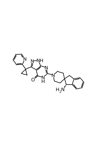 N[C@@H]1c2ccccc2CC12CCN(c1nc3[nH]nc(C4(c5ccccn5)CC4)c3c(=O)[nH]1)CC2